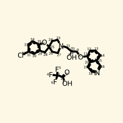 O=C(O)C(F)(F)F.O[C@H](COc1cccc2cnccc12)CN1CCC2(CC1)Cc1cc(Cl)ccc1O2